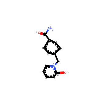 NC(=O)c1ccc(Cn2ccccc2=O)cc1